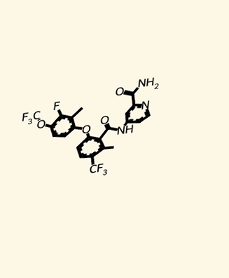 Cc1c(Oc2ccc(C(F)(F)F)c(C)c2C(=O)Nc2ccnc(C(N)=O)c2)ccc(OC(F)(F)F)c1F